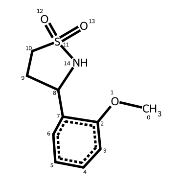 COc1ccccc1C1CCS(=O)(=O)N1